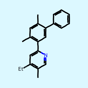 CCc1cc(-c2cc(-c3ccccc3)c(C)cc2C)ncc1C